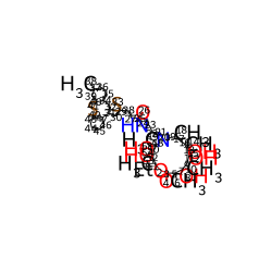 CC[C@H]1OC(=O)[C@H](C)[C@@H](O)[C@H](C)[C@@H](O)[C@](C)(O)C[C@@H](C)CN(CCCNC(=O)/C=C/c2cc3c(s2)-c2ccc(C)cc2Sc2ccccc2-3)[C@H](C)[C@@H](O)[C@]1(C)O